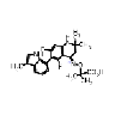 Cc1c[nH]c2c(-c3c(F)cc4c(c3F)/C(=N/OC(C)(C)C(=O)O)CC(C)(C)N4)cccc12